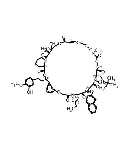 CCCC[C@H]1C(=O)N[C@@H](Cc2ccc3ccccc3c2)C(=O)N(C)[C@@H](COC(C)(C)C)C(=O)NCC(=O)N(C)CCCC/C=C/C(=O)OCC(C)(C)C(=O)C(=O)N2CCCC[C@H]2C(=O)O[C@H](CCc2ccc(OC)c(O)c2)c2cccc(c2)OCC(=O)N1C